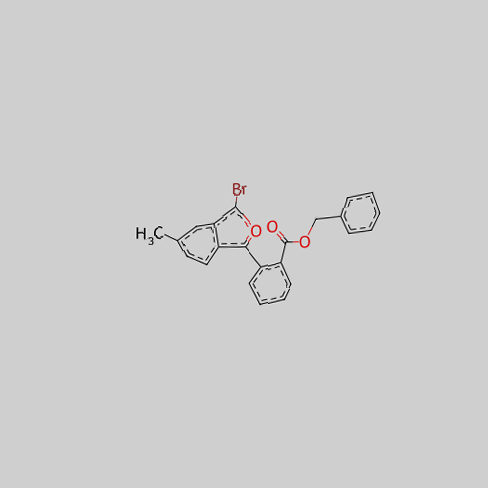 Cc1ccc2c(-c3ccccc3C(=O)OCc3ccccc3)oc(Br)c2c1